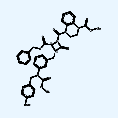 COc1ccc(CN(C(=O)OC(C)(C)C)c2cc(C[C@H]3C(=O)N(C(=O)N4CCN(C(=O)OC(C)(C)C)c5ccccc54)[C@@H]3C(=O)OCc3ccccc3)ccn2)cc1